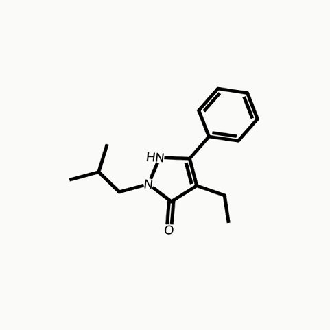 CCc1c(-c2ccccc2)[nH]n(CC(C)C)c1=O